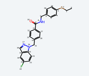 CCSc1ccc(CNC(=O)c2ccc(Cn3ncc4cc(F)ccc43)cc2)cc1